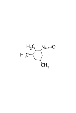 CC1CC(C)C(C)C(N=C=O)C1